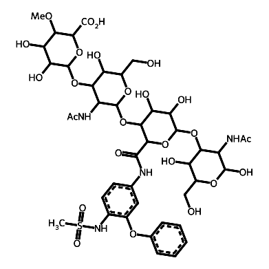 COC1C(C(=O)O)OC(OC2C(O)C(CO)OC(OC3C(C(=O)Nc4ccc(NS(C)(=O)=O)c(Oc5ccccc5)c4)OC(OC4C(O)C(CO)OC(O)C4NC(C)=O)C(O)C3O)C2NC(C)=O)C(O)C1O